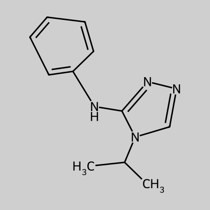 CC(C)n1cnnc1Nc1ccccc1